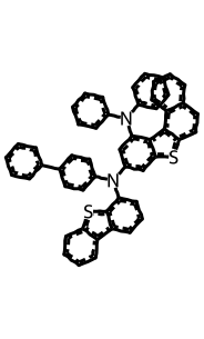 c1ccc(-c2ccc(N(c3cc(N(c4ccccc4)c4ccccc4)c4c(c3)sc3ccc5ccccc5c34)c3cccc4c3sc3ccccc34)cc2)cc1